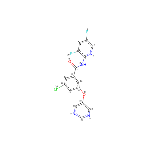 O=C(Nc1ncc(F)cc1F)c1cc(Cl)cc(Oc2cncnc2)c1